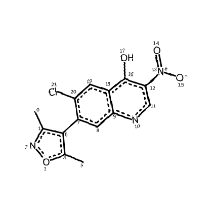 Cc1noc(C)c1-c1cc2ncc([N+](=O)[O-])c(O)c2cc1Cl